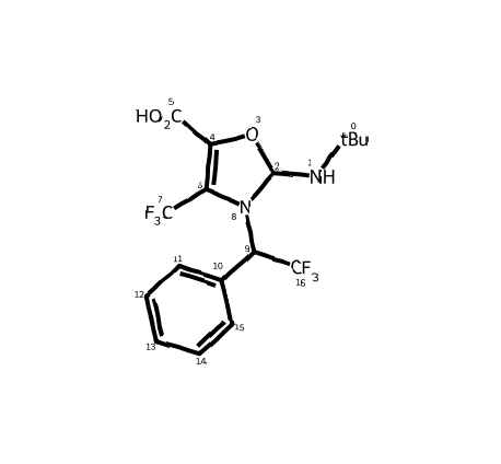 CC(C)(C)NC1OC(C(=O)O)=C(C(F)(F)F)N1C(c1ccccc1)C(F)(F)F